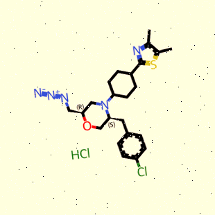 Cc1nc(C2CCC(N3C[C@H](CN=[N+]=[N-])OC[C@@H]3Cc3ccc(Cl)cc3)CC2)sc1C.Cl